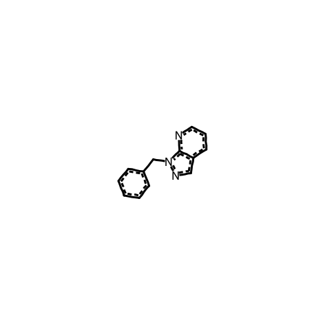 c1ccc(Cn2ncc3cccnc32)cc1